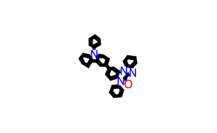 O=c1c2nc3ccccc3n2c2cc(-c3ccc4c(c3)c3ccccc3n4-c3ccccc3)ccc2n1-c1ccccc1